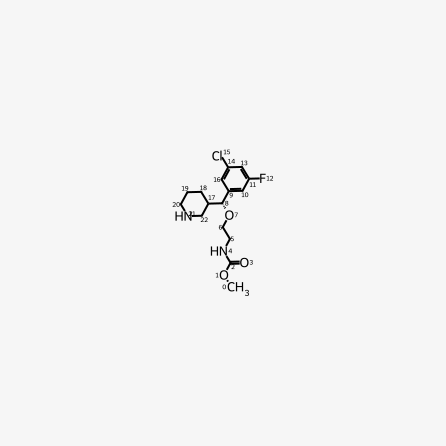 COC(=O)NCCO[C@@H](c1cc(F)cc(Cl)c1)C1CCCNC1